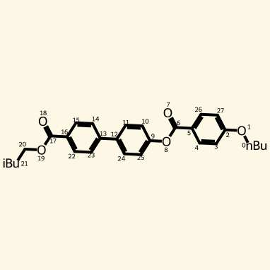 CCCCOc1ccc(C(=O)Oc2ccc(-c3ccc(C(=O)OCC(C)CC)cc3)cc2)cc1